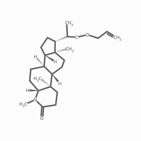 C=CCOCC(C)[C@H]1CC[C@H]2[C@@H]3CC[C@H]4N(C)C(=O)CC[C@]4(C)[C@H]3CC[C@]12C